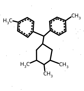 Cc1ccc(C(c2ccc(C)cc2)C2CC(C)C(C)C(C)C2)cc1